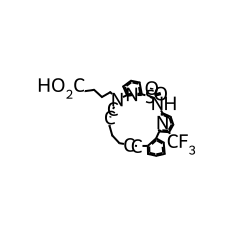 O=C(O)CCCCN1CCCCCCCc2ccccc2-c2nc(ccc2C(F)(F)F)NS(=O)(=O)c2cccc1n2